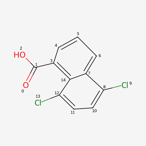 O=C(O)c1cccc2c(Cl)ccc(Cl)c12